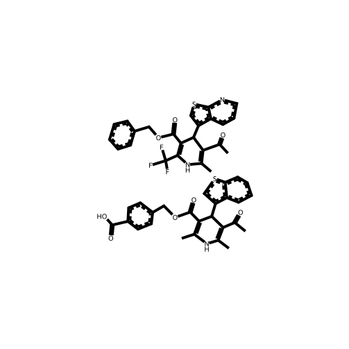 CC(=O)C1=C(C)NC(C(F)(F)F)=C(C(=O)OCc2ccccc2)C1c1csc2ncccc12.CC(=O)C1=C(C)NC(C)=C(C(=O)OCc2ccc(C(=O)O)cc2)C1c1csc2ccccc12